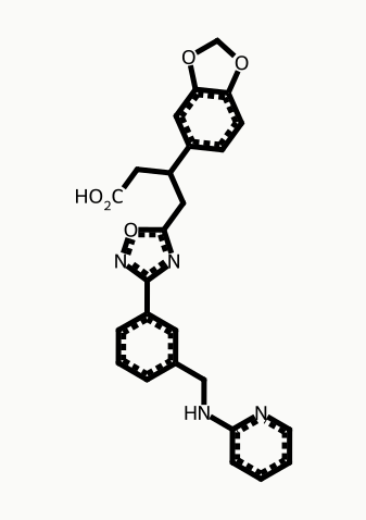 O=C(O)CC(Cc1nc(-c2cccc(CNc3ccccn3)c2)no1)c1ccc2c(c1)OCO2